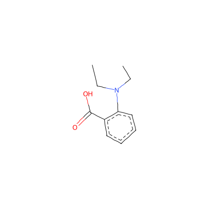 CCN(CC)c1ccccc1C(=O)O